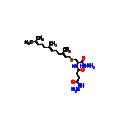 CC(C)=CCC/C(C)=C/CC/C(C)=C/CSC[C@H](NC(=O)CCC(=O)NN)C(=O)NN